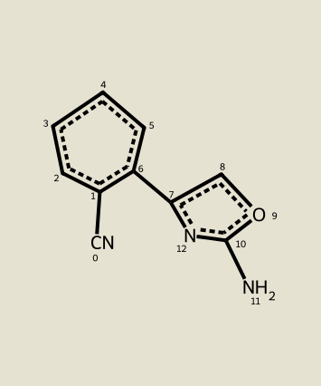 N#Cc1ccccc1-c1coc(N)n1